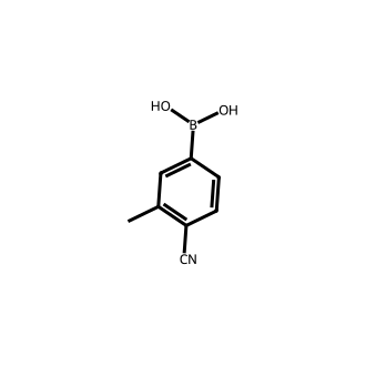 Cc1cc(B(O)O)ccc1C#N